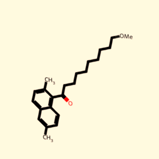 COCCCCCCCCCC(=O)c1c(C)ccc2cc(C)ccc12